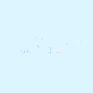 O=C(NC1CCCCC1)N1CCC(N(CCNCC(O)COc2ccc(O)cc2)c2ccccc2)CC1